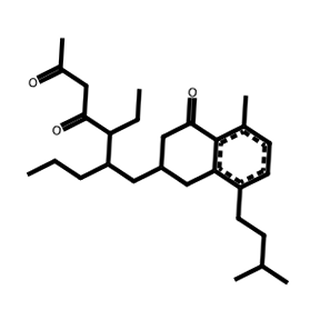 CCCC(CC1CC(=O)c2c(C)ccc(CCC(C)C)c2C1)C(CC)C(=O)CC(C)=O